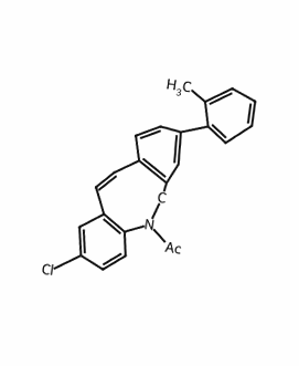 CC(=O)N1Cc2cc(-c3ccccc3C)ccc2C=Cc2cc(Cl)ccc21